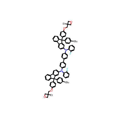 CCC1(COc2ccc(C3(c4ccc(C(C)(C)C)cc4)c4ccccc4-c4ccc(N(c5ccc(-c6ccc(N(c7ccc8c(c7)C(c7ccc(OCC9(CC)COC9)cc7)(c7ccc(C(C)(C)C)cc7)c7ccccc7-8)c7ccccc7F)cc6)cc5)c5ccccc5F)cc43)cc2)COC1